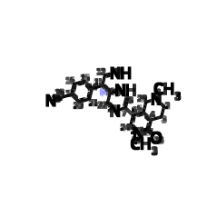 CN1CCc2c(c(C3=CN/C(=C(\C=N)c4ccc(C#N)cc4)C=N3)cn(C)c2=O)C1